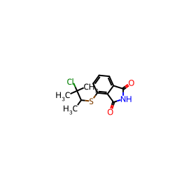 CC(Sc1cccc2c1C(=O)NC2=O)C(C)(C)Cl